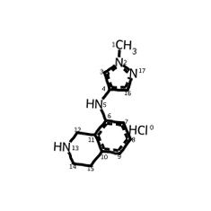 Cl.Cn1cc(Nc2cccc3c2CNCC3)cn1